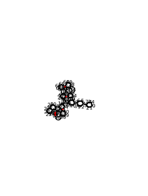 c1ccc(-c2ccc(-c3ccc(N(c4ccc5c(c4)-c4ccc6ccccc6c4C54c5ccccc5Oc5ccccc54)c4ccc5c(c4)C4(c6ccccc6Oc6ccccc64)c4ccccc4-5)cc3)cc2)cc1